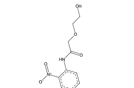 O=C(COCCO)Nc1ccccc1[N+](=O)[O-]